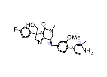 C=CN(/C=C(/C)N)c1ccc(/C=C2\CN(C)C(=O)N3C2=NCC3(CO)c2ccc(F)cc2)cc1OC